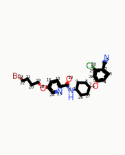 N#Cc1ccc(O[C@H]2CC[C@H](NC(=O)c3ccc(OCCCCBr)cn3)CC2)cc1Cl